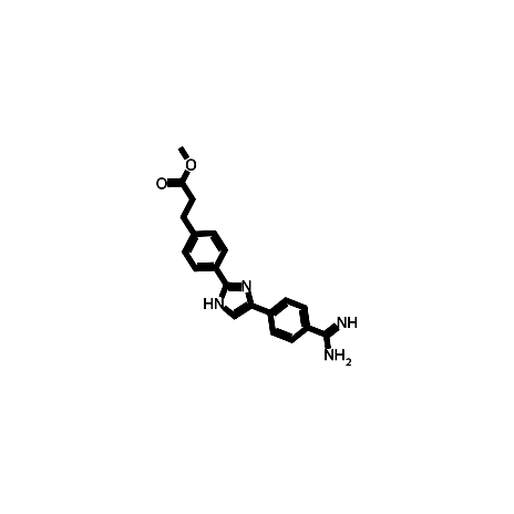 COC(=O)CCc1ccc(-c2nc(-c3ccc(C(=N)N)cc3)c[nH]2)cc1